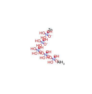 [AlH3].[O-][N+](O)(O)O.[O-][N+](O)(O)O.[O-][N+](O)(O)O.[O-][N+](O)(O)O.[O-][N+](O)(O)O.[Zn]